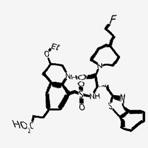 CCOC1CNc2c(cc(CCC(=O)O)cc2S(=O)(=O)N[C@@H](Cc2nc3ccccc3s2)C(=O)N2CCC(CCF)CC2)C1